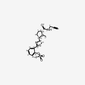 C#CCNC(=O)[C@H]1CC[C@H]([C@@H]2CSC(c3ccccc3OS(=O)(=O)F)=N2)N1C